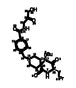 CCCCN1C(=O)[C@H](CC(C)C)NC(=O)C12CCN(Cc1ccc(C(=O)NCC(=O)CO)cc1)CC2